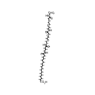 O=CCNC(=O)COCCOCCNC(=O)COCCOCCNC(=O)CCCNC(=O)CCCCCCCCCCCCCCCCC(=O)O